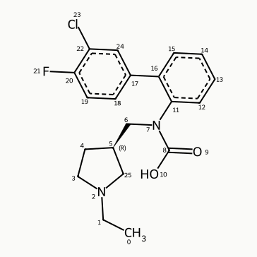 CCN1CC[C@@H](CN(C(=O)O)c2ccccc2-c2ccc(F)c(Cl)c2)C1